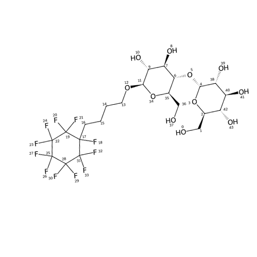 OC[C@H]1O[C@H](O[C@H]2[C@H](O)[C@@H](O)[C@H](OCCCCC3(F)C(F)(F)C(F)(F)C(F)(F)C(F)(F)C3(F)F)O[C@@H]2CO)[C@H](O)[C@@H](O)[C@@H]1O